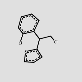 ClCC(c1cccs1)c1ccccc1Cl